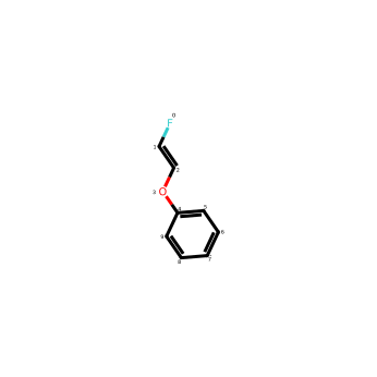 FC=COc1cc[c]cc1